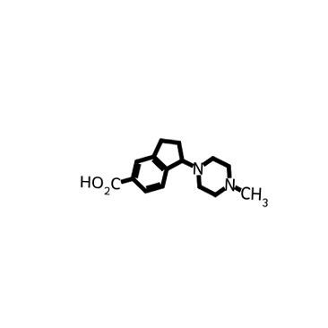 CN1CCN(C2CCc3cc(C(=O)O)ccc32)CC1